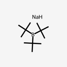 CC(C)(C)B(C(C)(C)C)C(C)(C)C.[NaH]